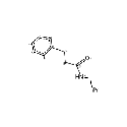 CC(C)CNC(=O)[CH]Cc1ccccc1